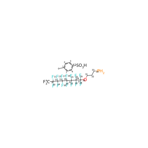 Cc1ccc(S(=O)(=O)O)cc1.FC(F)(F)C(F)(F)C(F)(F)C(F)(F)C(F)(F)C(F)(F)C(F)(F)C(F)(F)OCCCP